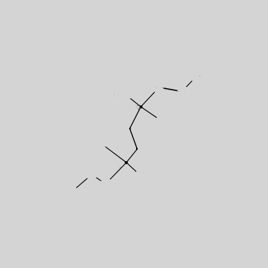 CC(C)(CCC(C)(C)OOO)OOO